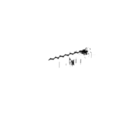 CCCCCCCCCCCCCCC(C)(C)C(=O)O.Cl.N.N